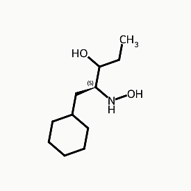 CCC(O)[C@H](CC1CCCCC1)NO